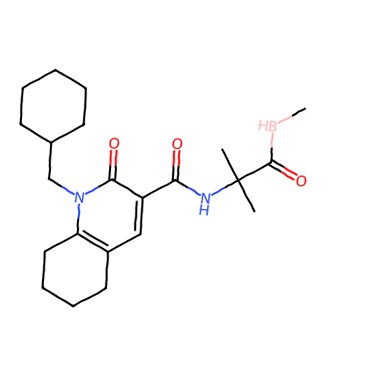 CBC(=O)C(C)(C)NC(=O)c1cc2c(n(CC3CCCCC3)c1=O)CCCC2